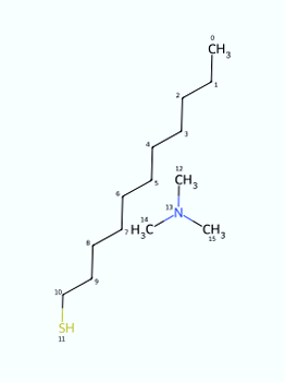 CCCCCCCCCCCS.CN(C)C